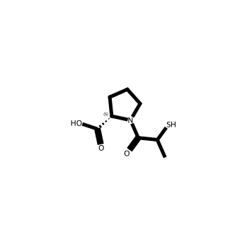 CC(S)C(=O)N1CCC[C@H]1C(=O)O